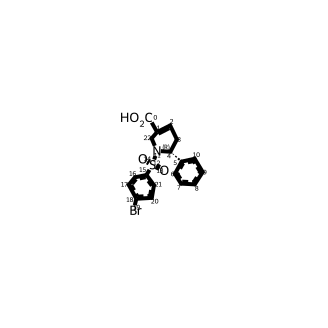 O=C(O)C1=CC[C@H](c2ccccc2)N(S(=O)(=O)c2ccc(Br)cc2)C1